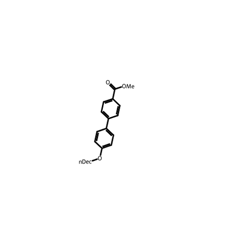 CCCCCCCCCCOc1ccc(-c2ccc(C(=O)OC)cc2)cc1